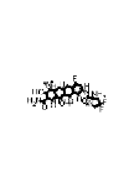 CN(C)[C@@H]1C(O)=C(C(N)=O)C(=O)[C@@]2(O)C(O)=C3C(=O)c4c(O)c(NC(=O)[C@]5(N)CC(F)(F)CN5C)cc(F)c4C[C@H]3C[C@@H]12